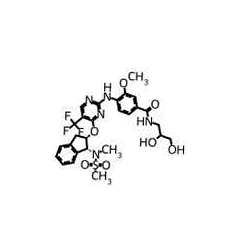 COc1cc(C(=O)NCC(O)CO)ccc1Nc1ncc(C(F)(F)F)c(O[C@@H]2Cc3ccccc3[C@H]2N(C)S(C)(=O)=O)n1